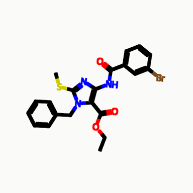 CCOC(=O)c1c(NC(=O)c2cccc(Br)c2)nc(SC)n1Cc1ccccc1